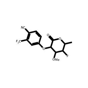 COC1C(Oc2ccc(C#N)c(C(F)(F)F)c2)C(=O)OC(C)C1F